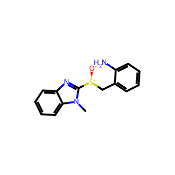 Cn1c([S@@+]([O-])Cc2ccccc2N)nc2ccccc21